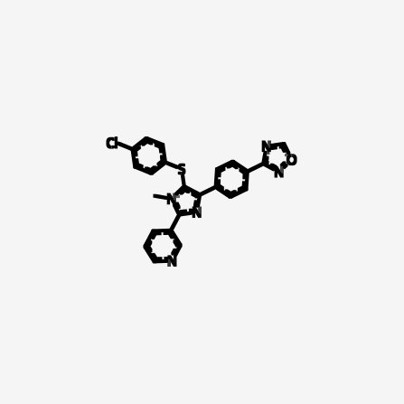 Cn1c(-c2cccnc2)nc(-c2ccc(-c3ncon3)cc2)c1Sc1ccc(Cl)cc1